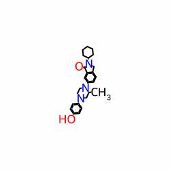 CC1CN(c2ccc(O)cc2)CCN1c1ccc2c(c1)C(=O)N(C1CCCCC1)C2